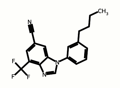 CCCCc1cccc(-n2cnc3c(C(F)(F)F)cc(C#N)cc32)c1